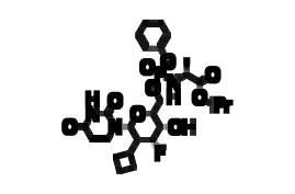 CC(C)OC(=O)[C@H](C)NP(=O)(OCC1O[C@@H](n2ccc(=O)[nH]c2=O)C(C2CCC2)[C@@H](F)[C@H]1O)Oc1ccccc1